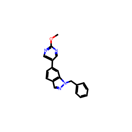 COc1ncc(-c2ccc3cnn(Cc4ccccc4)c3c2)cn1